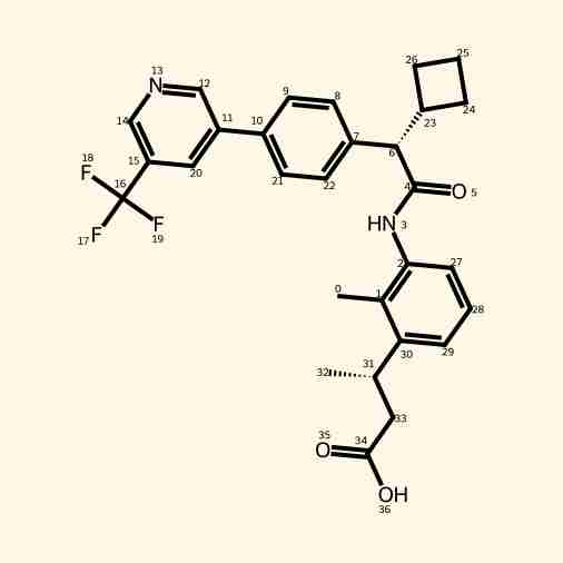 Cc1c(NC(=O)[C@H](c2ccc(-c3cncc(C(F)(F)F)c3)cc2)C2CCC2)cccc1[C@@H](C)CC(=O)O